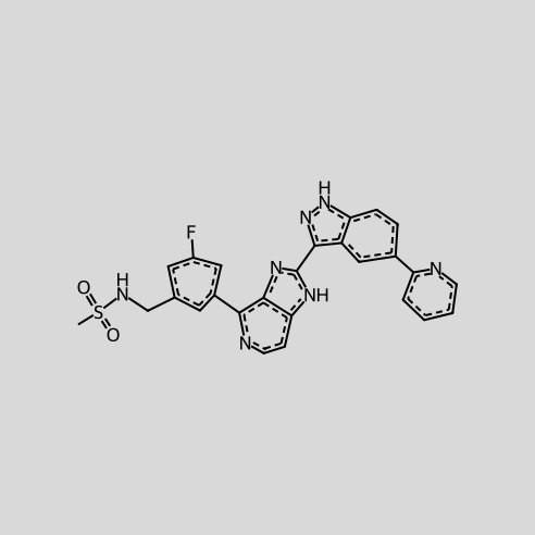 CS(=O)(=O)NCc1cc(F)cc(-c2nccc3[nH]c(-c4n[nH]c5ccc(-c6ccccn6)cc45)nc23)c1